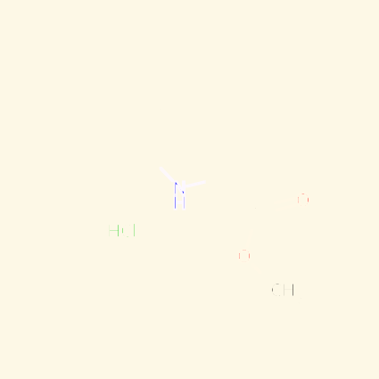 COC(=O)C1CCC2CCCCC2N1.Cl